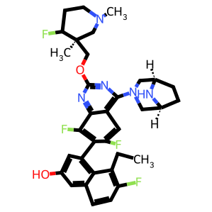 CCc1c(F)ccc2cc(O)cc(-c3c(F)cc4c(N5C[C@H]6CC[C@@H](C5)N6)nc(OC[C@]5(C)CN(C)CCC5F)nc4c3F)c12